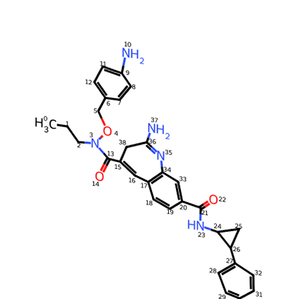 CCCN(OCc1ccc(N)cc1)C(=O)C1=Cc2ccc(C(=O)NC3CC3c3ccccc3)cc2N=C(N)C1